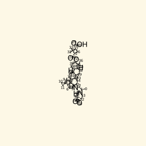 C[C@H](CN[C@]12CC[C@@H](C3(C)CC3)[C@@H]1[C@H]1CC[C@@H]3[C@@]4(C)CC[C@H](OC(=O)[C@H]5C[C@@H](C(=O)O)C5(C)C)C(C)(C)[C@@H]4CC[C@@]3(C)[C@]1(C)CC2)N1CCS(=O)(=O)CC1